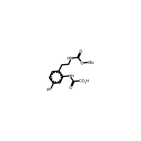 CC(C)c1ccc(CCNC(=O)OC(C)(C)C)c(NC(=O)C(=O)O)c1